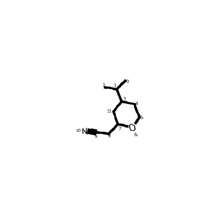 CC(C)C1CCOC(CC#N)C1